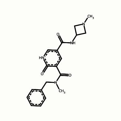 CN1CC(NC(=O)c2c[nH]c(=O)c(C(=O)N(C)Cc3ccccc3)c2)C1